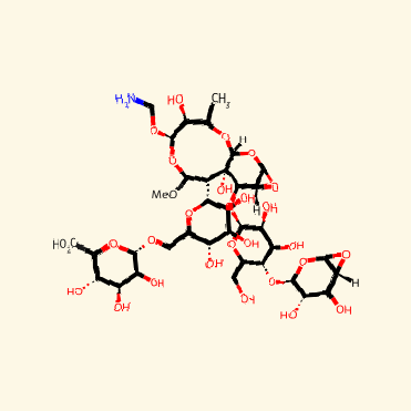 COC1O[C@@H](OCN)[C@@H](O)C(C)O[C@@H]2OC3O[C@@H]3C(O[C@@H]3OC(CO)[C@@H](O[C@H]4OC5O[C@@H]5C(O)[C@@H]4O)C(O)[C@@H]3O)[C@@]2(O)C1[C@H]1OC(CO[C@H]2OC(C(=O)O)[C@@H](O)[C@H](O)C2O)[C@@H](O)C(O)C1O